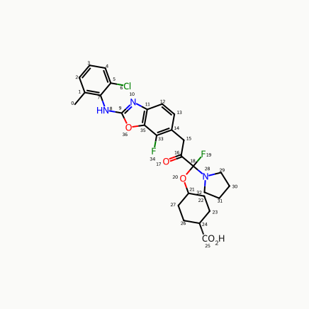 Cc1cccc(Cl)c1Nc1nc2ccc(CC(=O)C(F)(OC3CCC(C(=O)O)CC3)N3CCCC3)c(F)c2o1